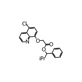 CC(C)C(OC(=O)COc1ccc(Cl)c2cccnc12)c1ccccc1